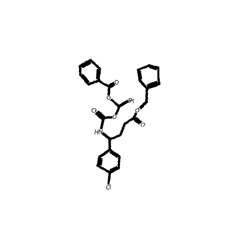 CC(C)C(OC(=O)NC(CCC(=O)OCc1ccccc1)c1ccc(Cl)cc1)OC(=O)c1ccccc1